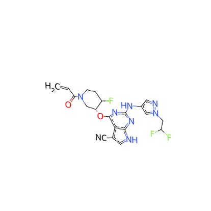 C=CC(=O)N1CC[C@@H](F)[C@H](Oc2nc(Nc3cnn(CC(F)F)c3)nc3[nH]cc(C#N)c23)C1